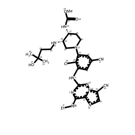 CCNc1nc(Nc2cc(C#N)cc(N3CC[C@@H](NC(=O)OC)[C@@H](NCCC(C)(C)O)C3)c2Cl)nn2c(C#N)cnc12